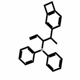 C=CC(C(C)c1ccc2c(c1)CC2)N(c1ccccc1)c1ccccc1